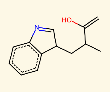 C=C(O)C(C)CC1C=Nc2ccccc21